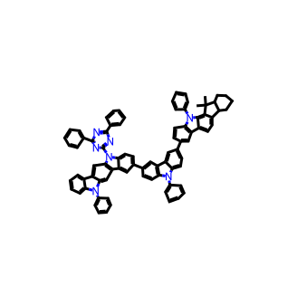 CC1(C)c2c(ccc3c4cc(-c5ccc6c(c5)c5cc(-c7ccc8c(c7)c7cc9c(cc7n8-c7nc(-c8ccccc8)nc(-c8ccccc8)n7)c7ccccc7n9-c7ccccc7)ccc5n6-c5ccccc5)ccc4n(-c4ccccc4)c23)C2CCCCC21